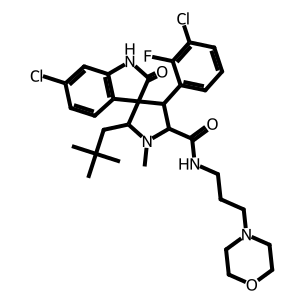 CN1C(C(=O)NCCCN2CCOCC2)C(c2cccc(Cl)c2F)C2(C(=O)Nc3cc(Cl)ccc32)C1CC(C)(C)C